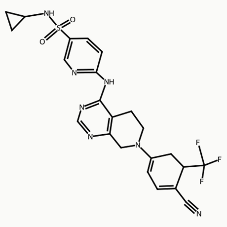 N#CC1=CC=C(N2CCc3c(ncnc3Nc3ccc(S(=O)(=O)NC4CC4)cn3)C2)CC1C(F)(F)F